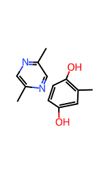 Cc1cc(O)ccc1O.Cc1cnc(C)cn1